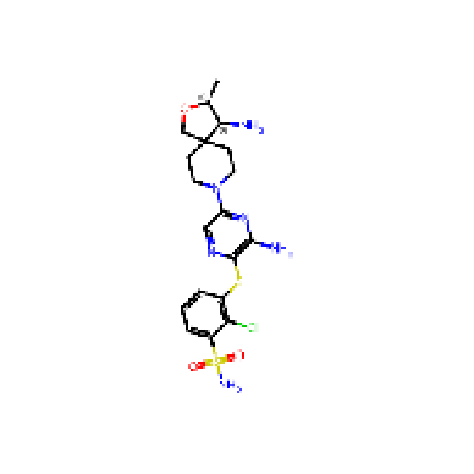 C[C@@H]1OCC2(CCN(c3cnc(Sc4cccc(S(N)(=O)=O)c4Cl)c(N)n3)CC2)[C@@H]1N